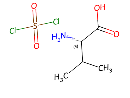 CC(C)[C@H](N)C(=O)O.O=S(=O)(Cl)Cl